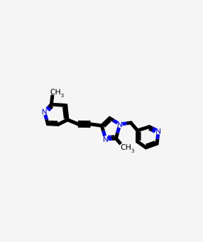 Cc1cc(C#Cc2cn(Cc3cccnc3)c(C)n2)ccn1